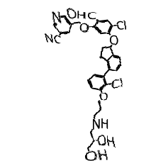 N#Cc1cncc(COc2cc(OC3CCc4c(-c5cccc(OCCCNC[C@H](O)CO)c5Cl)cccc43)c(Cl)cc2C=O)c1